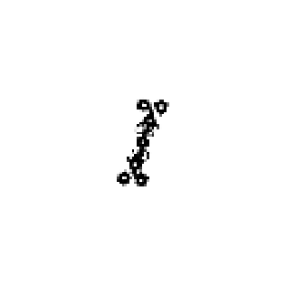 Cc1cc([S+](c2ccccc2)c2ccccc2)cc(C)c1OC(=O)c1ccc(C(=O)Oc2c(C)cc([S+](c3ccccc3)c3ccccc3)cc2C)cc1